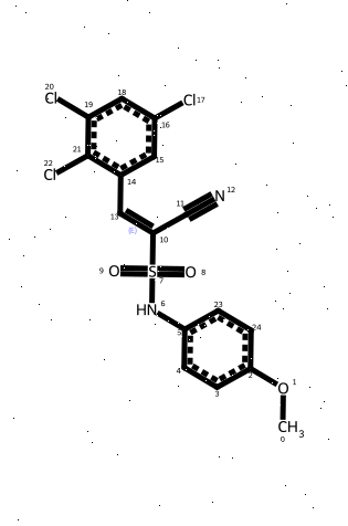 COc1ccc(NS(=O)(=O)/C(C#N)=C/c2cc(Cl)cc(Cl)c2Cl)cc1